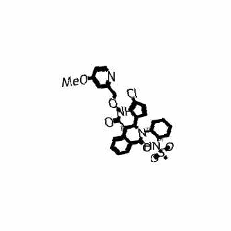 COc1ccnc(CONC(=O)[C@@H]2c3ccccc3C(=O)N([C@H]3CCCC[C@@H]3NS(C)(=O)=O)C2C2C=CC(Cl)=C2)c1